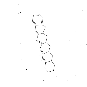 C1=C2C=C3C=C4C=C5CCCCC5CC4CC3CC2Cc2ccccc21